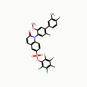 COc1cc(-c2ccc(F)c(C)c2)c(F)cc1-n1c(=O)ccc2cc(S(=O)(=O)Oc3c(F)c(F)c(F)c(F)c3F)ccc21